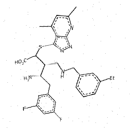 CCc1cccc(CNC[C@@H](C(Sc2nnc3nc(C)cc(C)n23)C(=O)O)[C@@H](N)Cc2cc(F)cc(F)c2)c1